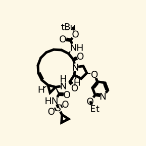 CCOc1cc(O[C@@H]2C[C@H]3C(=O)N[C@]4(C(=O)NS(=O)(=O)C5CC5)C[C@H]4/C=C\CCCCC[C@H](NC(=O)OC(C)(C)C)C(=O)N3C2)ccn1